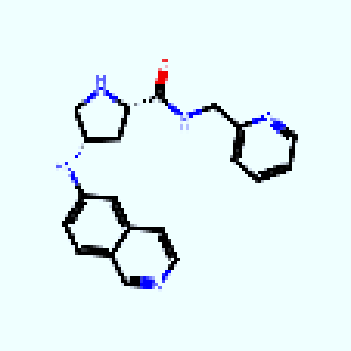 O=C(NCc1ccccn1)[C@@H]1C[C@H](Nc2ccc3cnccc3c2)CN1